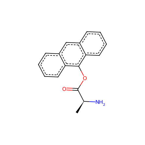 C[C@H](N)C(=O)Oc1c2ccccc2cc2ccccc12